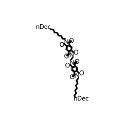 CCCCCCCCCCCCCCCCCCn1c(=O)c2cc3c(=O)n(CCn4c(=O)c5cc6c(=O)n(CCCCCCCCCCCCCCCCCC)c(=O)c6cc5c4=O)c(=O)c3cc2c1=O